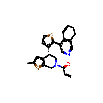 C=CC(=O)N1Cc2sc(C)cc2[C@H](c2ccsc2-c2cncc3c2C=CCC3)C1